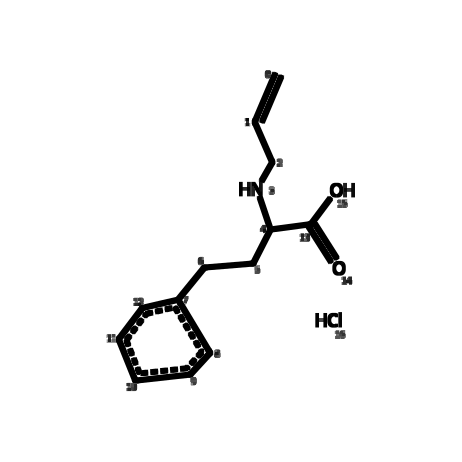 C=CCNC(CCc1ccccc1)C(=O)O.Cl